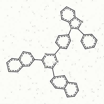 c1ccc(-c2nc3ccccc3n2-c2ccc(-c3nc(-c4ccc5ccccc5c4)nc(-c4ccc5ccccc5c4)n3)cc2)cc1